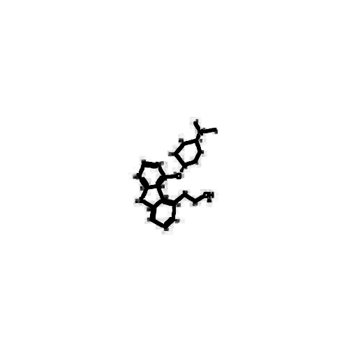 CN(C)[C@H]1CC[C@H](Oc2ncnc3sc4cccc(CCO)c4c23)CC1